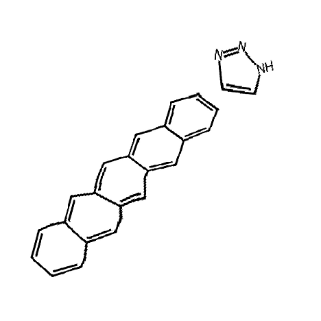 c1c[nH]nn1.c1ccc2cc3cc4cc5ccccc5cc4cc3cc2c1